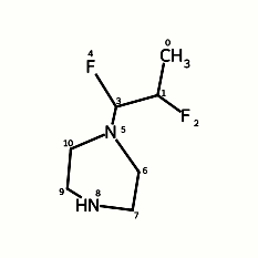 CC(F)C(F)N1CCNCC1